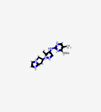 CNc1nc(Nc2cnn(C3Cc4nccn4C3)c2C)ncc1C(F)(F)F